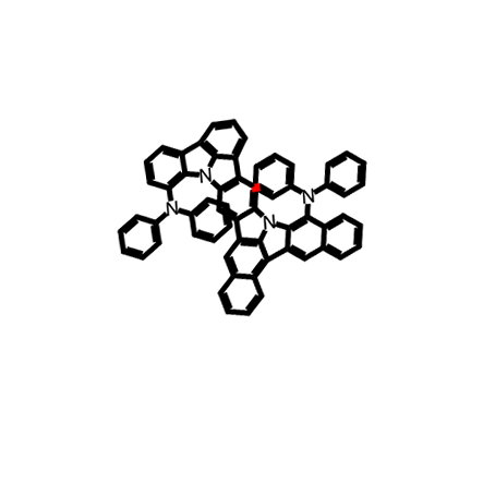 c1ccc(N(c2ccccc2)c2cccc3c4cccc5c6cc7c(cc6n(c23)c54)c2cc3ccccc3c3c4cc5ccccc5c(N(c5ccccc5)c5ccccc5)c4n7c23)cc1